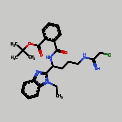 CCn1c(C(CCCNC(=N)CCl)NC(=O)c2ccccc2C(=O)OC(C)(C)C)nc2ccccc21